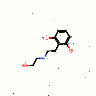 OCCNCCc1c(O)cccc1O